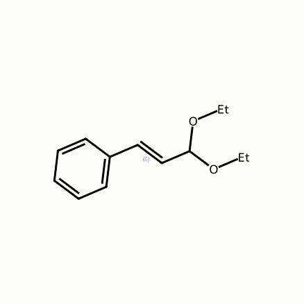 CCOC(/C=C/c1ccccc1)OCC